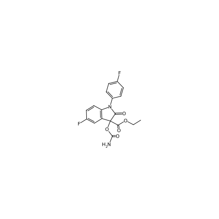 CCOC(=O)C1(OC(N)=O)C(=O)N(c2ccc(F)cc2)c2ccc(F)cc21